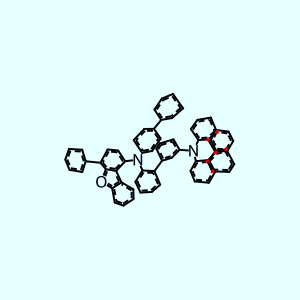 c1ccc(-c2ccc(N(c3ccccc3-c3cccc(N(c4ccccc4-c4ccccc4)c4ccccc4-c4ccccc4)c3)c3ccc(-c4ccccc4)c4oc5ccccc5c34)cc2)cc1